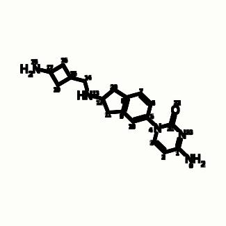 Nc1ccn(-c2ccc3c(c2)CC(NCC2CC(N)C2)C3)c(=O)n1